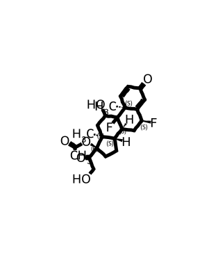 CC(=O)O[C@]1(C(=O)CO)CC[C@H]2[C@@H]3C[C@H](F)C4=CC(=O)C=C[C@]4(C)C3(F)C(O)C[C@@]21C